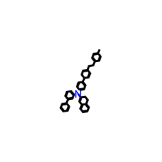 Cc1ccc(CCC2=CCC(c3ccc(N(C4=Cc5ccccc5CC4)c4cccc(-c5ccccc5)c4)cc3)C=C2)cc1